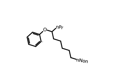 CCCCCCCCCCCCCCC(CCC)Oc1[c]cccc1